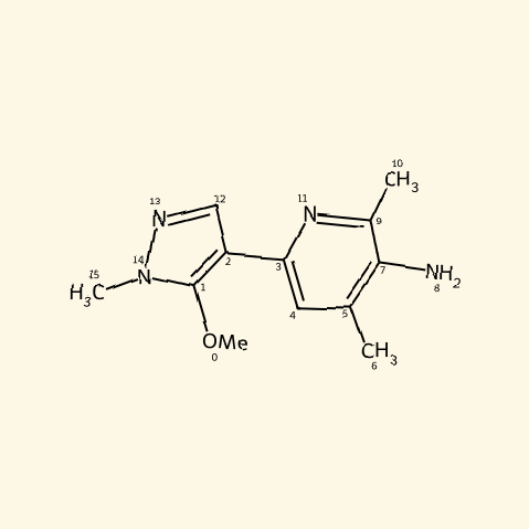 COc1c(-c2cc(C)c(N)c(C)n2)cnn1C